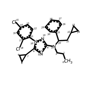 CCCN(c1nc(C2CC2)n(-c2ccc(Cl)cc2Cl)n1)C(CC1CC1)c1ccccc1